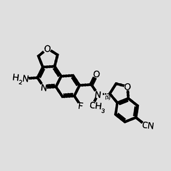 CN(C(=O)c1cc2c3c(c(N)nc2cc1F)COC3)[C@@H]1COc2cc(C#N)ccc21